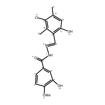 COc1ccc(C(=O)N/N=C/c2c(O)cc(C)c(Cl)c2C)cc1O